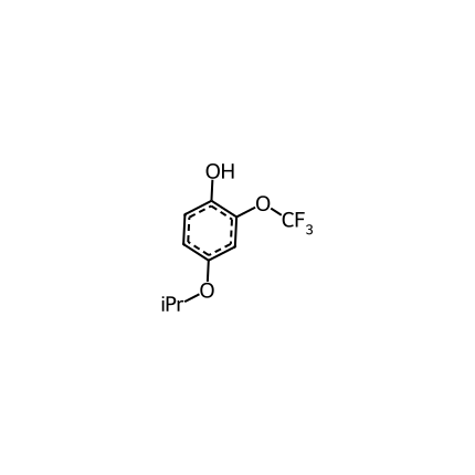 CC(C)Oc1ccc(O)c(OC(F)(F)F)c1